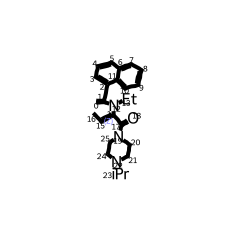 C=C(c1cccc2ccccc12)N(CC)/C(=C\C)C(=O)N1CCN(C(C)C)CC1